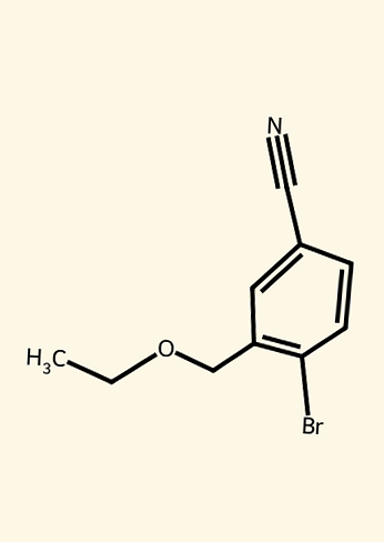 CCOCc1cc(C#N)ccc1Br